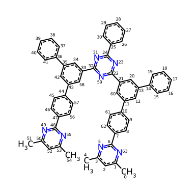 Cc1cc(C)nc(-c2ccc(-c3cc(-c4ccccc4)cc(-c4nc(-c5ccccc5)nc(-c5cc(-c6ccccc6)cc(-c6ccc(-c7nc(C)cc(C)n7)cc6)c5)n4)c3)cc2)n1